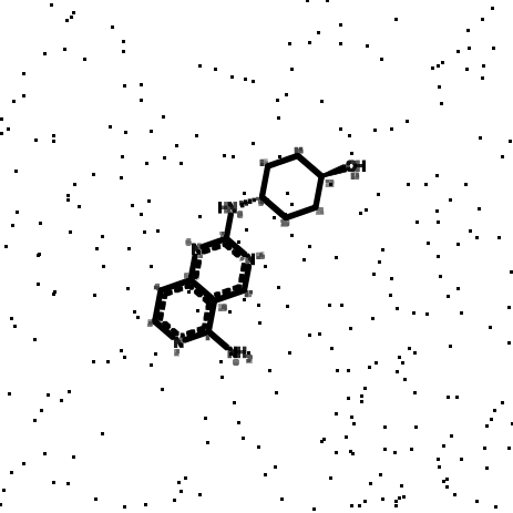 Nc1nccc2nc(N[C@H]3CC[C@H](O)CC3)ncc12